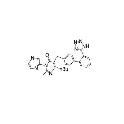 CCCCc1nc(C)n(-c2cnccn2)c(=O)c1Cc1ccc(-c2ccccc2-c2nnn[nH]2)cc1